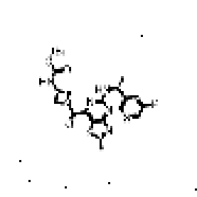 Cc1nc2nc(N[C@@H](C)c3cncc(F)c3)nc(C(=O)N3CC(NC(=O)OC(C)(C)C)C3)c2s1